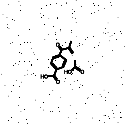 C=C(C)C(=O)c1ccc(C(=O)O)cc1.CC(=O)O